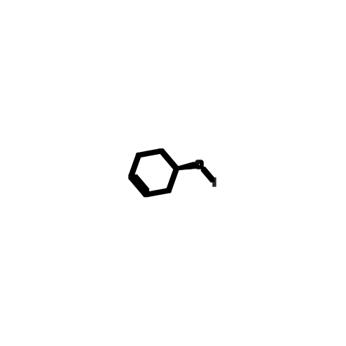 IO[C@H]1CC=CCC1